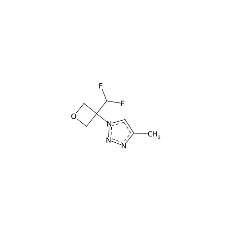 Cc1cn(C2(C(F)F)COC2)nn1